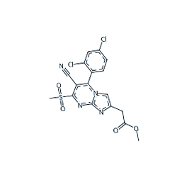 COC(=O)Cc1cn2c(-c3ccc(Cl)cc3Cl)c(C#N)c(S(C)(=O)=O)nc2n1